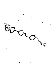 CCOc1ccc(C2CCC(CCC3CCC(CCC=CF)CC3)CC2)cc1